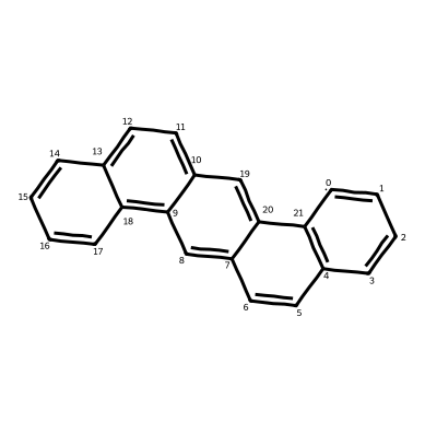 [c]1cccc2ccc3cc4c(ccc5ccccc54)cc3c12